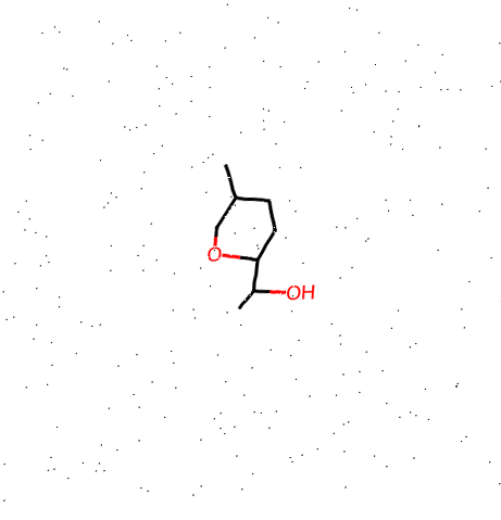 CC1CCC(C(C)O)OC1